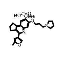 COc1cc2c3c(c(-c4coc(C)c4)nc2cc1OCCCN1CCCC1)CCC3.O=CO